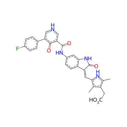 Cc1[nH]c(C=C2C(=O)Nc3cc(NC(=O)c4c[nH]cc(-c5ccc(F)cc5)c4=O)ccc32)c(C)c1CC(=O)O